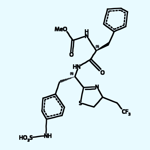 COC(=O)N[C@@H](Cc1ccccc1)C(=O)N[C@@H](Cc1ccc(NS(=O)(=O)O)cc1)C1=NC(CC(F)(F)F)CS1